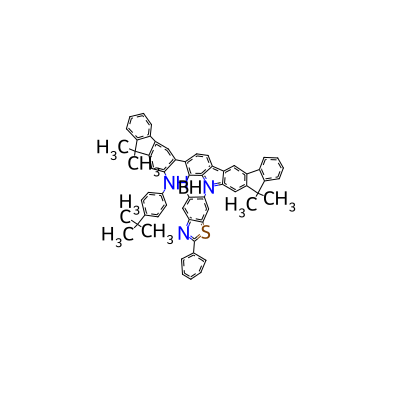 CC(C)(C)c1ccc(Nc2cc3c(cc2-c2ccc4c5cc6c(cc5n5c4c2Bc2cc4nc(-c7ccccc7)sc4cc2-5)C(C)(C)c2ccccc2-6)-c2ccccc2C3(C)C)cc1